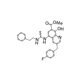 COC(=O)c1cc(NC(=S)NCCc2ccccc2)c2cc(Cc3ccc(F)cc3)cnc2c1O